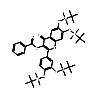 CC(C)(C)[Si](C)(C)Oc1ccc(-c2oc3cc(O[Si](C)(C)C(C)(C)C)c(O[Si](C)(C)C(C)(C)C)cc3c(=O)c2OC(=O)c2ccccc2)cc1O[Si](C)(C)C(C)(C)C